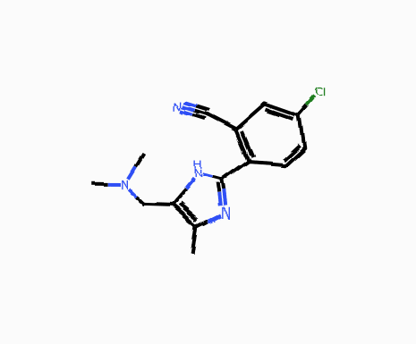 Cc1nc(-c2ccc(Cl)cc2C#N)[nH]c1CN(C)C